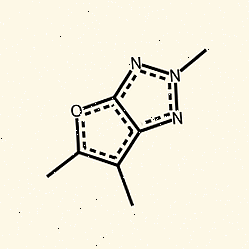 Cc1oc2nn(C)nc2c1C